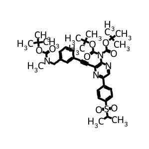 CC(C)S(=O)(=O)c1ccc(-c2cnc(N(C(=O)OC(C)(C)C)C(=O)OC(C)(C)C)c(C#Cc3cccc(CN(C)C(=O)OC(C)(C)C)c3)n2)cc1